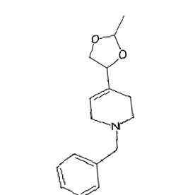 CC1OCC(C2=CCN(Cc3ccccc3)CC2)O1